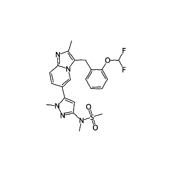 Cc1nc2ccc(-c3cc(N(C)S(C)(=O)=O)nn3C)cn2c1Cc1ccccc1OC(F)F